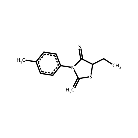 C=C1SC(CC)C(=S)N1c1ccc(C)cc1